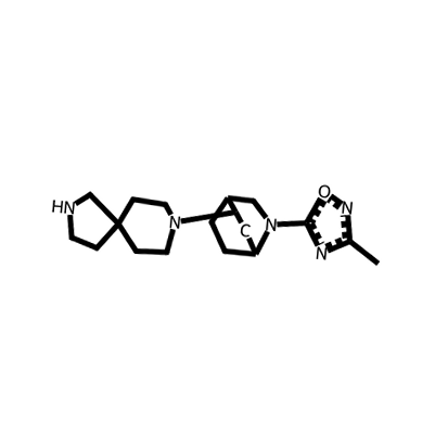 Cc1noc(N2CC3CCC2CC3N2CCC3(CCNC3)CC2)n1